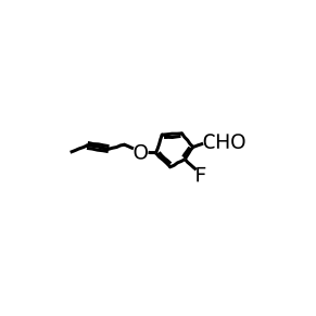 CC#CCOc1ccc(C=O)c(F)c1